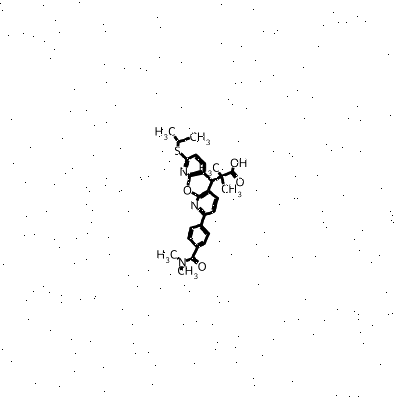 CC(C)Sc1ccc2c(n1)Oc1nc(-c3ccc(C(=O)N(C)C)cc3)ccc1C2C(C)(C)C(=O)O